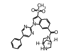 CS(=O)(=O)c1cn(-c2ncc(-c3ccccc3)cn2)c2cc(C(=O)N3C[C@H]4C[C@@H]3CN4)ccc12